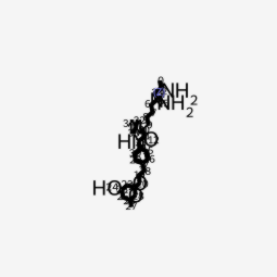 C/C(N)=C/N(N)CCCC[C@@H](C(=O)Nc1ccc(CCOC2CC(O)CC(C)O2)cc1)[N+](C)(C)C